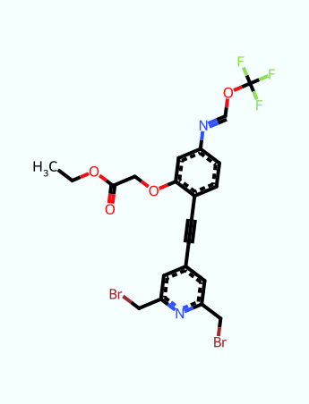 CCOC(=O)COc1cc(N=COC(F)(F)F)ccc1C#Cc1cc(CBr)nc(CBr)c1